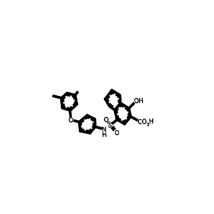 Cc1cc(C)cc(Oc2ccc(NS(=O)(=O)c3cc(C(=O)O)c(O)c4ccccc34)cc2)c1